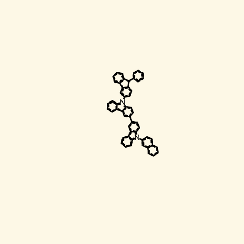 c1ccc(C2c3ccccc3-c3cc(-n4c5ccccc5c5cc(-c6ccc7c(c6)c6ccccc6n7-c6ccc7ccccc7c6)ccc54)ccc32)cc1